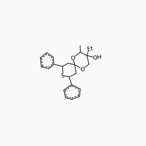 CCC1(O)COC2(CC(c3ccccc3)SC(c3ccccc3)C2)OC1C